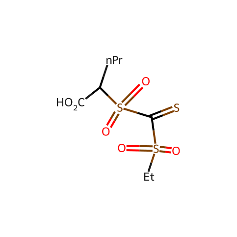 CCCC(C(=O)O)S(=O)(=O)C(=S)S(=O)(=O)CC